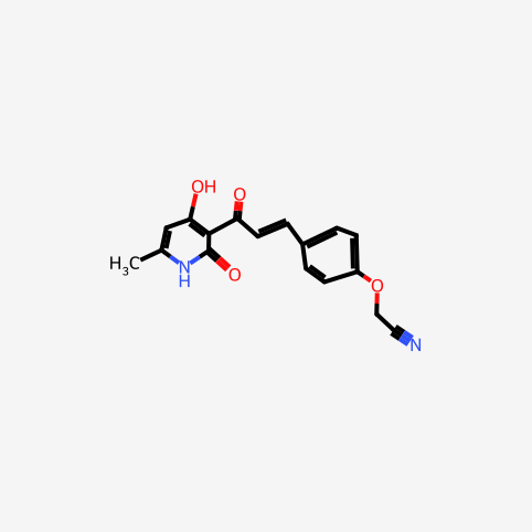 Cc1cc(O)c(C(=O)/C=C/c2ccc(OCC#N)cc2)c(=O)[nH]1